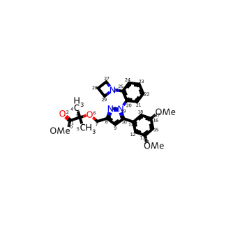 COC(=O)C(C)(C)OCc1cc(-c2cc(OC)cc(OC)c2)n(-c2ccccc2N2CCC2)n1